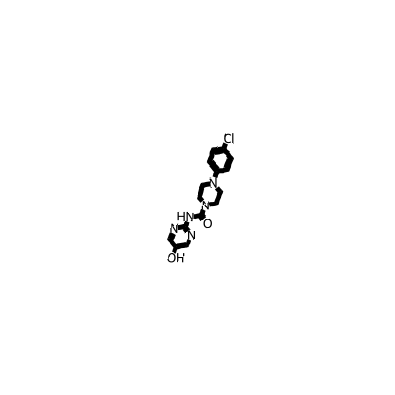 O=C(Nc1ncc(O)cn1)N1CCN(c2ccc(Cl)cc2)CC1